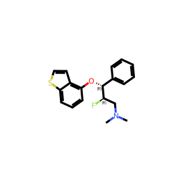 CN(C)C[C@@H](F)[C@H](Oc1cccc2sccc12)c1ccccc1